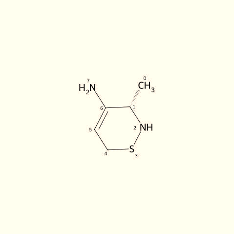 C[C@@H]1NSCC=C1N